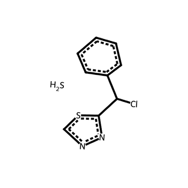 ClC(c1ccccc1)c1nncs1.S